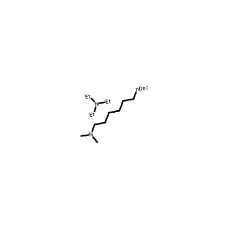 CCCCCCCCCCCCCCCCN(C)C.CCN(CC)CC